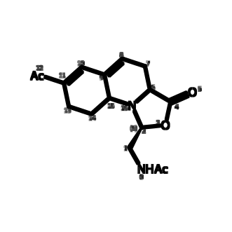 CC(=O)NC[C@@H]1OC(=O)C2CC=C3C=C(C(C)=O)CCC3N21